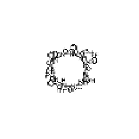 CC(C)C[C@@H]1NC(=O)[C@H](Cc2ccccc2)N(C)C(=O)C(C(C)C)NC(=O)C[C@@H](C(=O)N2CCCCC2)NC(=O)[C@H](C(C)C)N(C)C(=O)[C@H](Cc2ccccc2)N(C)C(=O)[C@H](COC(C)(C)C)NC(=O)[C@H](CCN2CCCC(F)(F)C2)N(C)C(=O)CN(C)C(=O)[C@H]([C@@H](C)O)NC(=O)[C@H](CC(C)C)N(C)C1=O